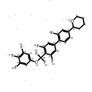 Fc1cc(C2CCCCO2)ccc1-c1cc(F)c(C(F)(F)Oc2cc(F)c(F)c(F)c2)c(F)c1